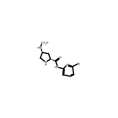 O=C(O)N[C@@H]1CN[C@H](C(=O)Nc2cccc(Br)n2)C1